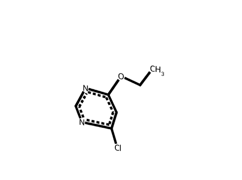 CCOc1cc(Cl)ncn1